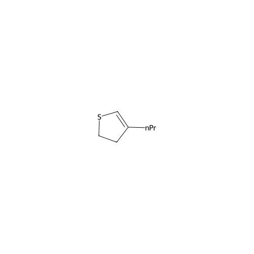 CCCC1=CSCC1